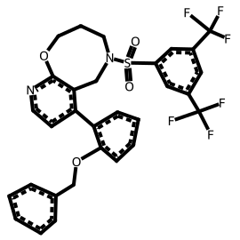 O=S(=O)(c1cc(C(F)(F)F)cc(C(F)(F)F)c1)N1CCCOc2nccc(-c3ccccc3OCc3ccccc3)c2C1